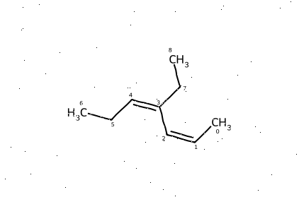 C/C=C\C(=C/CC)CC